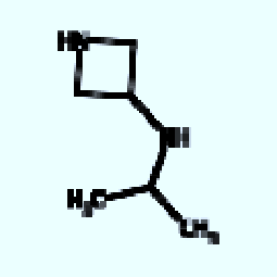 CC(C)NC1CNC1